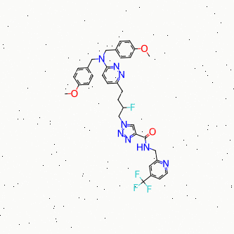 COc1ccc(CN(Cc2ccc(OC)cc2)c2ccc(CCC(F)Cn3cc(C(=O)NCc4cc(C(F)(F)F)ccn4)nn3)nn2)cc1